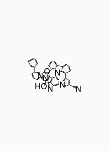 N#Cc1cncc(-c2cccc3c4cccc(-c5cncc(C#N)c5)c4n(-c4cccc5c4C(=O)N(c4cccc(-c6ccccc6)c4)C5O)c23)c1